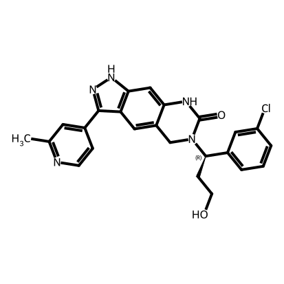 Cc1cc(-c2n[nH]c3cc4c(cc23)CN([C@H](CCO)c2cccc(Cl)c2)C(=O)N4)ccn1